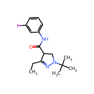 CCC1=NN(C(C)(C)C)CC1C(=O)Nc1cccc(I)c1